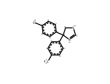 FC(F)(F)c1ccc(C2(c3ccc(Cl)cc3)CSC=N2)cc1